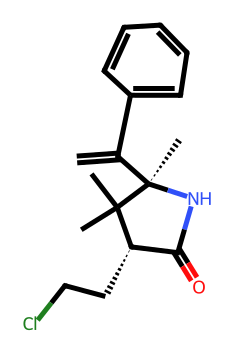 C=C(c1ccccc1)[C@@]1(C)NC(=O)[C@H](CCCl)C1(C)C